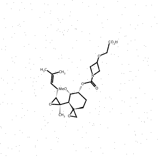 CO[C@@H]1[C@H](OC(=O)N2CC(OCC(=O)O)C2)CC[C@]2(CO2)[C@H]1[C@@]1(C)O[C@@H]1CC=C(C)C